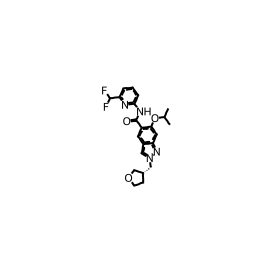 CC(C)Oc1cc2nn(C[C@@H]3CCOC3)cc2cc1C(=O)Nc1cccc(C(F)F)n1